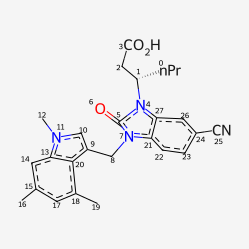 CCC[C@@H](CC(=O)O)n1c(=O)n(Cc2cn(C)c3cc(C)cc(C)c23)c2ccc(C#N)cc21